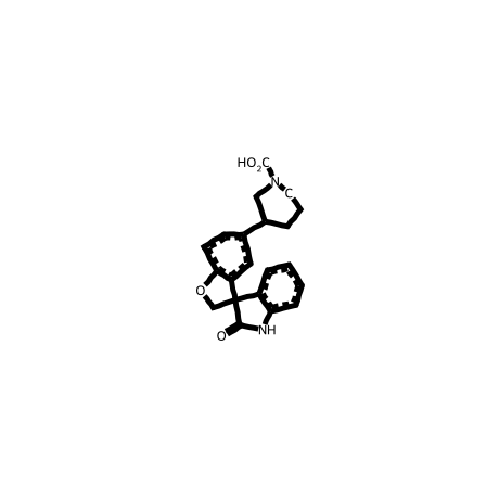 O=C(O)N1CCCC(c2ccc3c(c2)C2(CO3)C(=O)Nc3ccccc32)C1